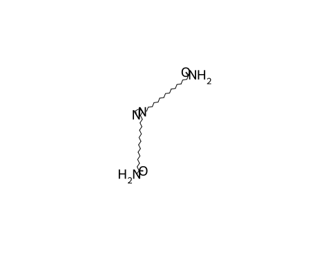 NC(=O)CCCCCCCCCCCCCCCN1CCN=C1CCCCCCCCCCCCCCC(N)=O